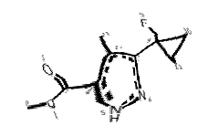 COC(=O)c1[nH]nc(C2(F)CC2)c1C